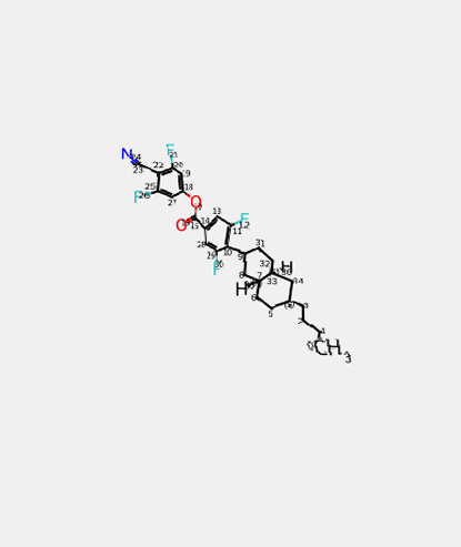 CCCC[C@H]1CC[C@@H]2CC(c3c(F)cc(C(=O)Oc4cc(F)c(C#N)c(F)c4)cc3F)CC[C@H]2C1